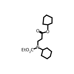 CCOC(=O)N(CCC(=O)OC1CCCCC1)C1CCCCC1